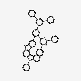 c1ccc(-c2cc(-c3ccccc3)cc(-c3ccc(-c4ccc5c(c4)sc4ccc6c(c7ccccc7n6-c6ccccc6)c45)c(-c4nc(-c5ccccc5)nc(-c5ccccc5)n4)c3)c2)cc1